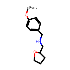 CCCCCOc1ccc(CNCC2CCCO2)cc1